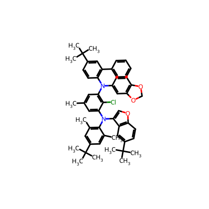 Cc1cc(N(c2ccc3c(c2)OCO3)c2ccc(C(C)(C)C)cc2-c2ccccc2)c(Cl)c(N(c2c(C)cc(C(C)(C)C)cc2C)c2coc3ccc(C(C)(C)C)cc23)c1